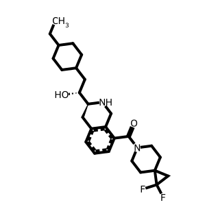 CCC1CCC(C[C@@H](O)[C@@H]2Cc3cccc(C(=O)N4CCC5(CC4)CC5(F)F)c3CN2)CC1